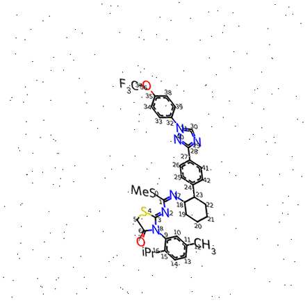 CSC(/N=C1\SCC(=O)N1c1cc(C)ccc1C(C)C)=N/C1CCCCC1c1ccc(-c2ncn(-c3ccc(OC(F)(F)F)cc3)n2)cc1